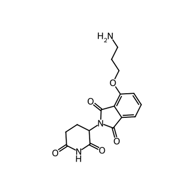 NCCCOc1cccc2c1C(=O)N(C1CCC(=O)NC1=O)C2=O